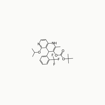 CC1=C(OC(=O)OC(C)(C)C)C(c2ccccc2C(F)(F)F)c2c(ccnc2OC(C)C)N1